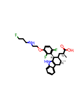 C[C@@H]1Cc2c([nH]c3ccccc23)[C@@H](c2c(F)ccc(OCCNCCCF)c2F)C1C[C@H](C)C(=O)O